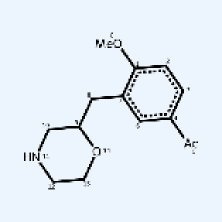 COc1ccc(C(C)=O)cc1CC1CNCCO1